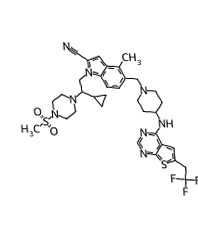 Cc1c(CN2CCC(Nc3ncnc4sc(CC(F)(F)F)cc34)CC2)ccc2c1cc(C#N)n2CC(C1CC1)N1CCN(S(C)(=O)=O)CC1